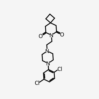 O=C1CC2(CCC2)CC(=O)N1CCN1CCN(c2cc(Cl)ccc2Cl)CC1